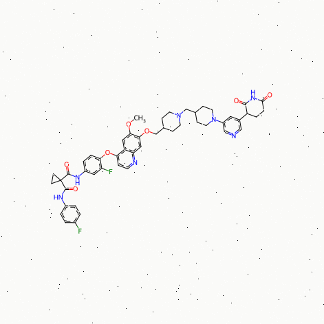 COc1cc2c(Oc3ccc(NC(=O)C4(C(=O)Nc5ccc(F)cc5)CC4)cc3F)ccnc2cc1OCC1CCN(CC2CCN(c3cncc(C4CCC(=O)NC4=O)c3)CC2)CC1